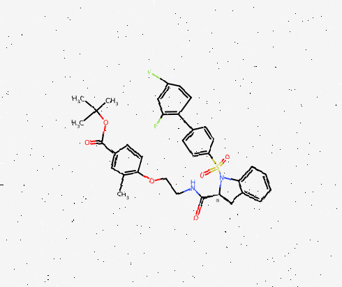 Cc1cc(C(=O)OC(C)(C)C)ccc1OCCNC(=O)[C@@H]1Cc2ccccc2N1S(=O)(=O)c1ccc(-c2ccc(F)cc2F)cc1